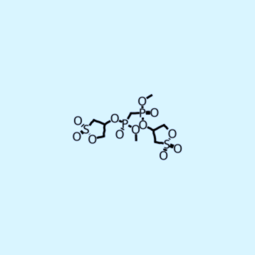 COP(=O)(CP(=O)(OC)OC1COS(=O)(=O)C1)OC1COS(=O)(=O)C1